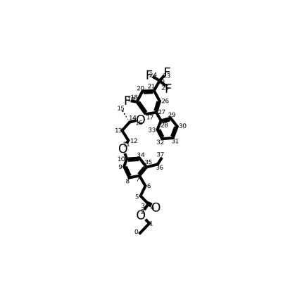 CCOC(=O)CCc1ccc(OCC[C@H](C)Oc2c(F)cc(C(F)(F)F)cc2-c2ccccc2)cc1CC